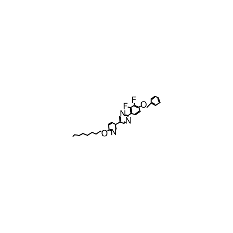 CCCCCCCCOc1ccc(-c2cnc(-c3ccc(OCc4ccccc4)c(F)c3F)nc2)cn1